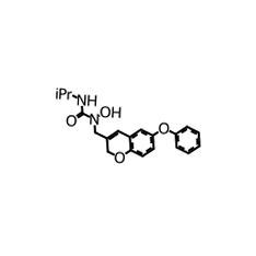 CC(C)NC(=O)N(O)CC1=Cc2cc(Oc3ccccc3)ccc2OC1